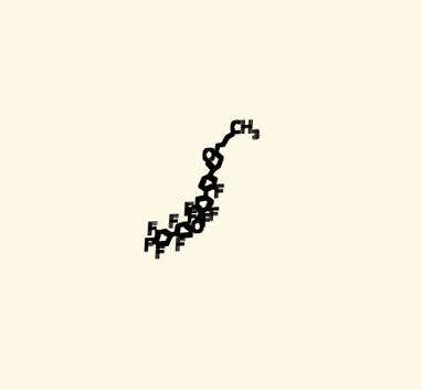 CCCCCC1CCC(c2ccc(-c3cc(F)c(C(F)(F)Oc4cc(F)c(-c5cc(F)c(F)c(F)c5)c(F)c4)c(F)c3)c(F)c2)=CO1